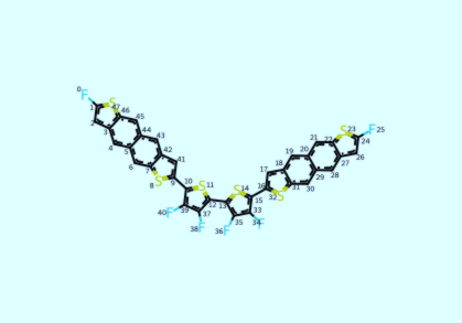 Fc1cc2cc3cc4sc(-c5sc(-c6sc(-c7cc8cc9cc%10sc(F)cc%10cc9cc8s7)c(F)c6F)c(F)c5F)cc4cc3cc2s1